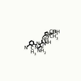 Cc1c(C#N)cccc1-c1nc(N)c(F)c(/C(=C/NCc2ccn(C(C)(C)CO)n2)N=N)n1